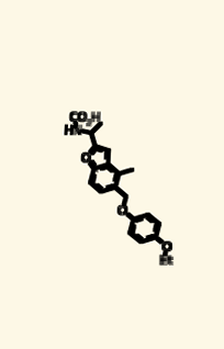 CCOc1ccc(OCc2ccc3oc(C(C)NC(=O)O)cc3c2C)cc1